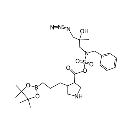 CC(O)(CN=[N+]=[N-])CN(Cc1ccccc1)S(=O)(=O)OC(=O)C1CNCC1CCCB1OC(C)(C)C(C)(C)O1